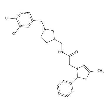 CC1=CN(CC(=O)NCC2CCN(Cc3ccc(Cl)c(Cl)c3)C2)C(c2ccccc2)O1